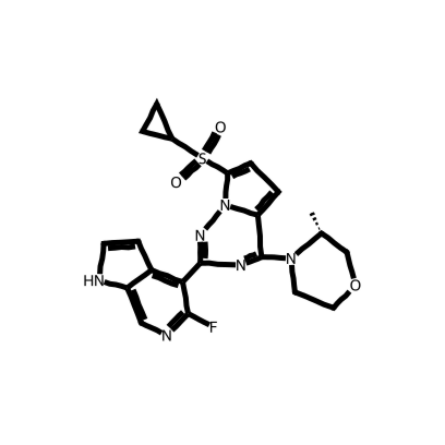 C[C@@H]1COCCN1c1nc(-c2c(F)ncc3[nH]ccc23)nn2c(S(=O)(=O)C3CC3)ccc12